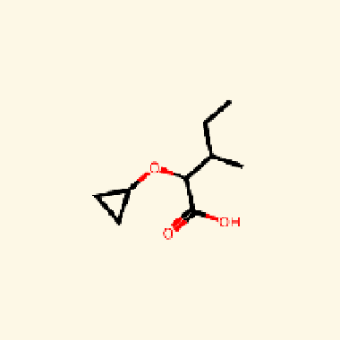 CCC(C)[C@H](OC1CC1)C(=O)O